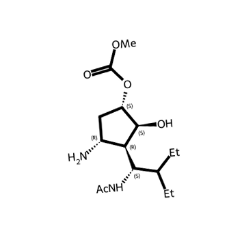 CCC(CC)[C@H](NC(C)=O)[C@@H]1[C@H](O)[C@@H](OC(=O)OC)C[C@H]1N